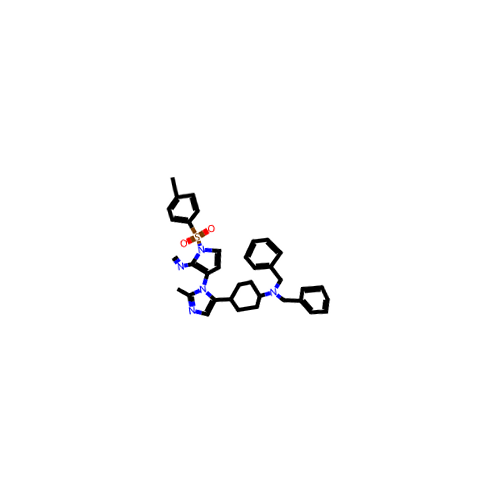 C=Nc1c(-n2c(C3CCC(N(Cc4ccccc4)Cc4ccccc4)CC3)cnc2C)ccn1S(=O)(=O)c1ccc(C)cc1